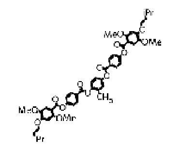 COc1cc(C(=O)Oc2ccc(C(=O)Oc3ccc(OC(=O)c4ccc(OC(=O)c5cc(OC)c(OCCC(C)C)cc5OC)cc4)c(C)c3)cc2)c(OC)cc1OCCC(C)C